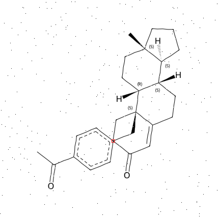 CC(=O)c1ccc(C[C@]23CCC(=O)C=C2CC[C@@H]2[C@H]3CC[C@]3(C)CCC[C@@H]23)cc1